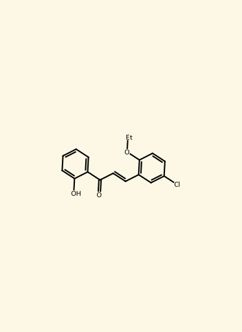 CCOc1ccc(Cl)cc1/C=C/C(=O)c1ccccc1O